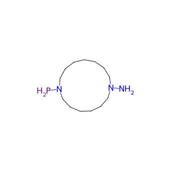 NN1CCCCCCCN(P)CCCCCC1